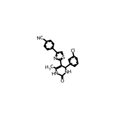 CC1=C(c2nc(-c3ccc(C#N)cc3)cs2)C(c2cccc(Cl)c2)NC(=O)N1